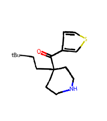 CC(C)(C)CCC1(C(=O)c2ccsc2)CCNCC1